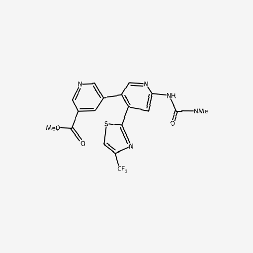 CNC(=O)Nc1cc(-c2nc(C(F)(F)F)cs2)c(-c2cncc(C(=O)OC)c2)cn1